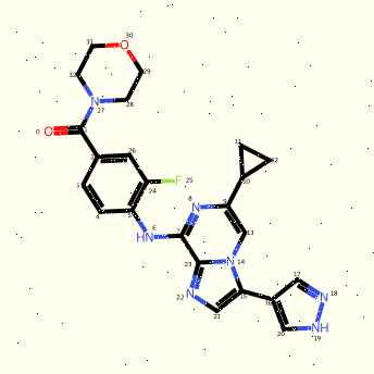 O=C(c1ccc(Nc2nc(C3CC3)cn3c(-c4cn[nH]c4)cnc23)c(F)c1)N1CCOCC1